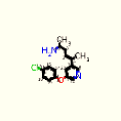 CC(=CCC(C)N)c1cncc(Oc2ccc(Cl)cc2)c1